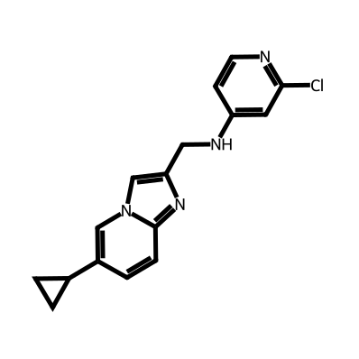 Clc1cc(NCc2cn3cc(C4CC4)ccc3n2)ccn1